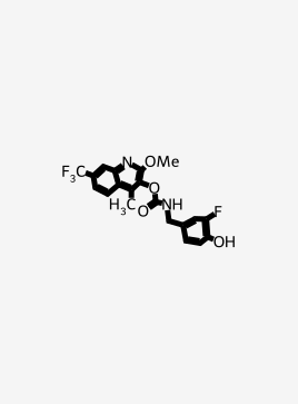 COc1nc2cc(C(F)(F)F)ccc2c(C)c1OC(=O)NCc1ccc(O)c(F)c1